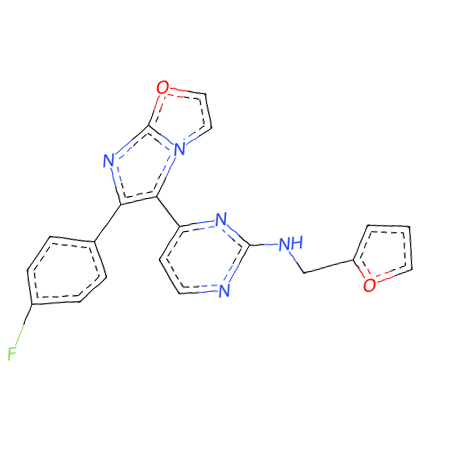 Fc1ccc(-c2nc3occn3c2-c2ccnc(NCc3ccco3)n2)cc1